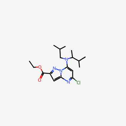 CCOC(=O)c1cc2nc(Cl)cc(N(CC(C)C)C(C)C(C)C)n2n1